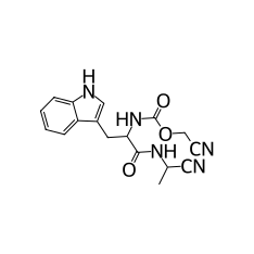 CC(C#N)NC(=O)C(Cc1c[nH]c2ccccc12)NC(=O)OCC#N